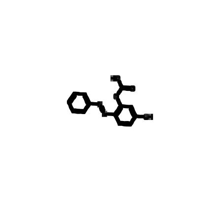 O=C(O)Oc1cc(O)ccc1N=Nc1ccccc1